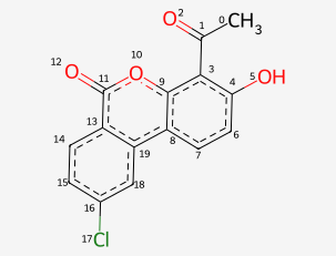 CC(=O)c1c(O)ccc2c1oc(=O)c1ccc(Cl)cc12